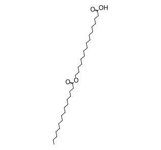 CCCCCCCCCCCCCCCC(=O)OCCCCCCCCCCCCCCCCC(=O)O